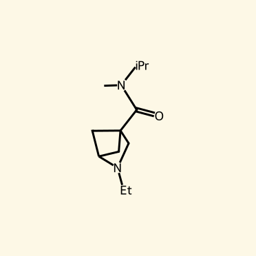 CCN1CC2(C(=O)N(C)C(C)C)CC1C2